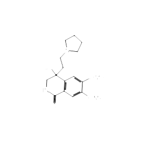 CCC1(CCN2CCCC2)CNC(=S)c2cc(OC)c(OC)cc21